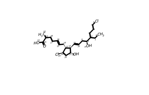 CCC(CCCCl)[C@@H](O)CC=C[C@@H]1[C@@H](CC=CCCC(C)C(=O)O)[C@H](Cl)C[C@H]1O